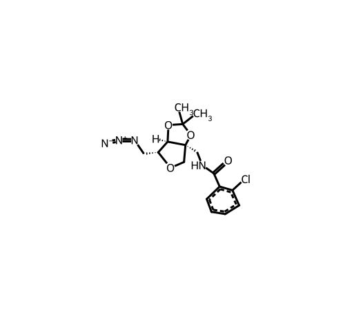 CC1(C)O[C@@H]2[C@@H](CN=[N+]=[N-])OC[C@]2(CNC(=O)c2ccccc2Cl)O1